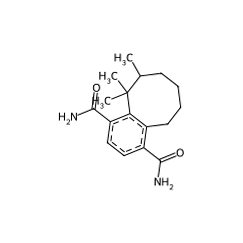 CC1CCCCc2c(C(N)=O)ccc(C(N)=O)c2C1(C)C